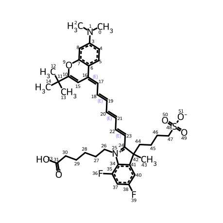 CN(C)c1ccc2c(c1)OC(C(C)(C)C)=C\C2=C/C=C/C=C/C=C/C1=[N+](CCCCCC(=O)O)c2c(F)cc(F)cc2C1(C)CCCCS(=O)(=O)[O-]